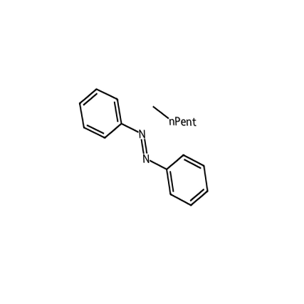 CCCCCC.c1ccc(N=Nc2ccccc2)cc1